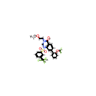 COCCN1CN(S(=O)(=O)c2cccc(C(F)(F)F)c2)c2cc(-c3ccccc3OC(F)F)ccc2C1=O